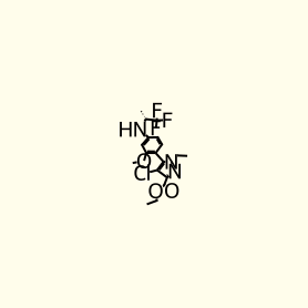 CCOC(=O)c1nn(CC)c(-c2ccc(N[C@H](C)C(F)(F)F)cc2OC)c1Cl